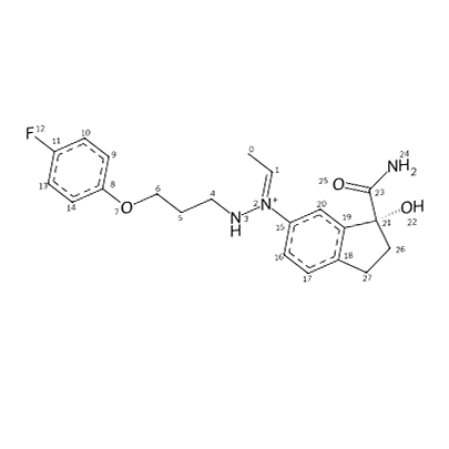 CC=[N+](NCCCOc1ccc(F)cc1)c1ccc2c(c1)[C@@](O)(C(N)=O)CC2